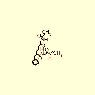 CCNC(=O)CNC(=O)C(CCCC(=O)CNC(=O)CC)Cc1ccccc1